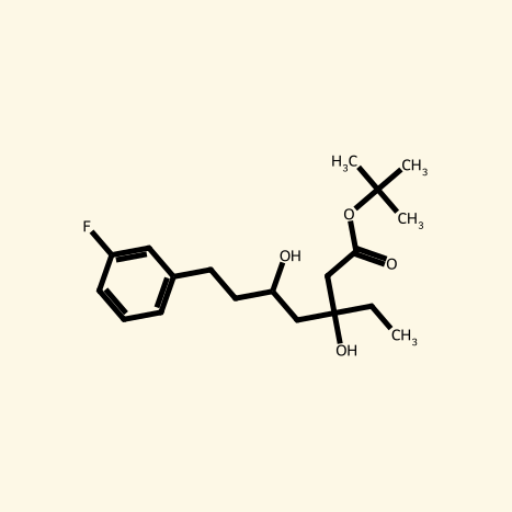 CCC(O)(CC(=O)OC(C)(C)C)CC(O)CCc1cccc(F)c1